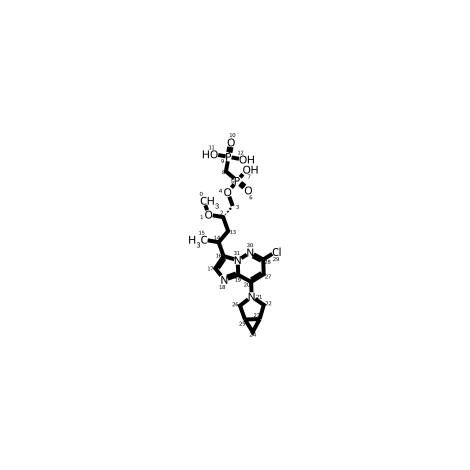 CO[C@H](COP(=O)(O)CP(=O)(O)O)CC(C)c1cnc2c(N3CC4CC4C3)cc(Cl)nn12